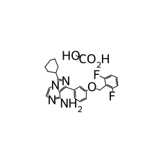 Nc1nccn2c(C3CCCCC3)nc(-c3cccc(OCc4c(F)cccc4F)c3)c12.O=C(O)O